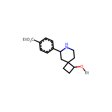 CCOC(=O)c1ccc(C2CC3(CCN2)CCC3OCC)cc1